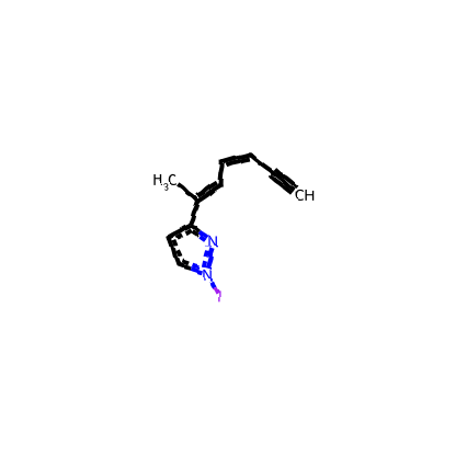 C#C/C=C\C=C(/C)c1ccn(I)n1